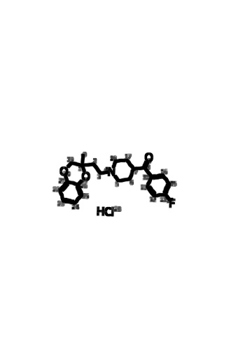 CC1(CCN2CCC(C(=O)c3ccc(F)cc3)CC2)COc2ccccc2O1.Cl